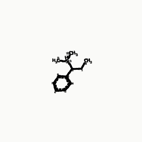 CCC(c1ccccc1)[SiH](C)C